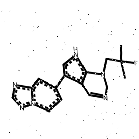 CC(C)(F)CN1CN=Cc2c(-c3ccn4ncnc4c3)c[nH]c21